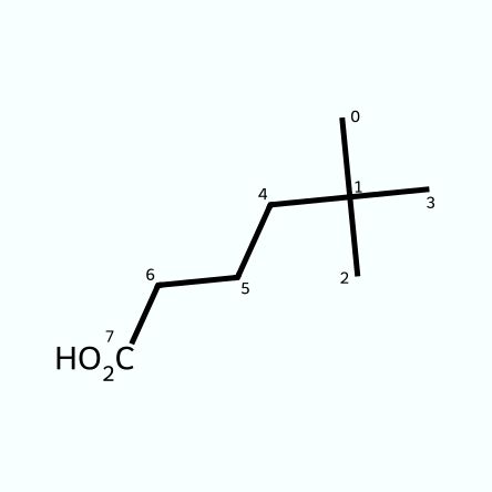 CC(C)(C)CCCC(=O)O